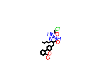 CCCCc1nc(NC(=O)CCl)[nH]c(=O)c1Cc1ccc(-c2ccccc2C(=O)OC)cc1